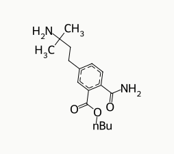 CCCCOC(=O)c1cc(CCC(C)(C)N)ccc1C(N)=O